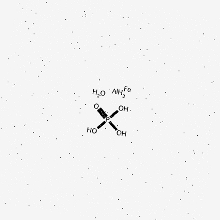 O.O=P(O)(O)O.[AlH3].[Fe]